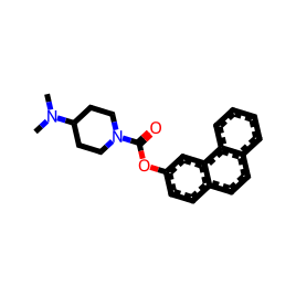 CN(C)C1CCN(C(=O)Oc2ccc3ccc4ccccc4c3c2)CC1